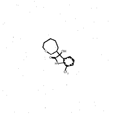 O=C1Nc2c(C(F)(F)F)cccc2C1(O)C1CCCCCCC1